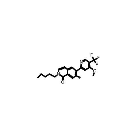 CCCCCn1ccc2cc(-c3cc(OC)c(C(F)(F)F)cn3)c(F)cc2c1=O